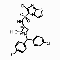 C[C@@H]1[C@@H](NS(=O)(=O)c2c(Cl)nc3sccn23)CN1C(c1ccc(Cl)cc1)c1ccc(Cl)cc1